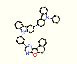 c1ccc(-n2c3ccccc3c3cc(-c4ccc5c(c4)c4ccccc4n5-c4cccc(-c5cnc6oc7ccc8ccccc8c7c6n5)c4)ccc32)cc1